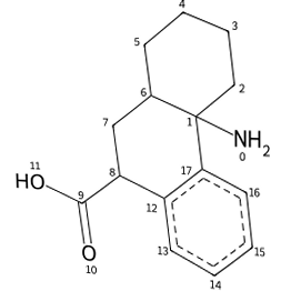 NC12CCCCC1CC(C(=O)O)c1ccccc12